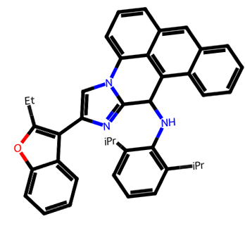 CCc1oc2ccccc2c1-c1cn2c(n1)C(Nc1c(C(C)C)cccc1C(C)C)c1c3ccccc3cc3cccc-2c13